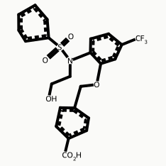 O=C(O)c1ccc(COc2cc(C(F)(F)F)ccc2N(CCO)S(=O)(=O)c2ccccc2)cc1